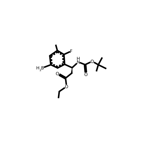 Bc1cc(C)c(F)c([C@H](CC(=O)OCC)NC(=O)OC(C)(C)C)c1